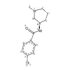 CN1CCC[C@@H](NC(=O)c2ccc(C(F)(F)F)cc2)C1